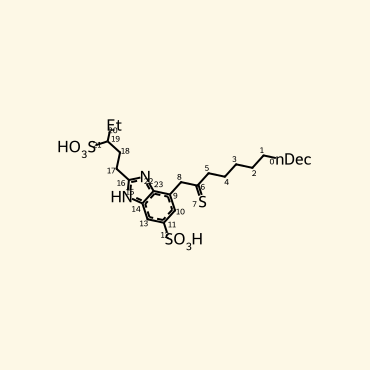 CCCCCCCCCCCCCCCC(=S)Cc1cc(S(=O)(=O)O)cc2[nH]c(CCC(CC)S(=O)(=O)O)nc12